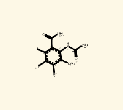 COc1c(Br)c(I)c(C)c(C(N)=O)c1NC(=O)C(C)(C)C